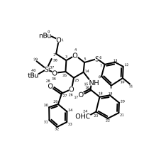 CCCCOCC1OC(Sc2ccc(C)cc2)C(NC(=O)c2ccccc2C=O)C(OC(=O)c2ccccc2)C1O[Si](C)(C)C(C)(C)C